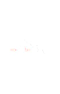 C/C=C/C=C/C(C)=C/[C@H](C)[C@@H](O)CCO